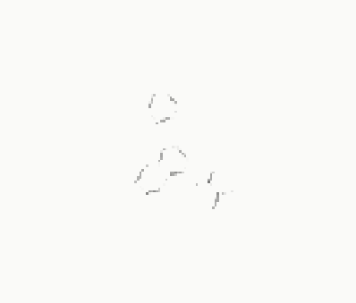 C=C(C)C(=O)Oc1c(Cl)cc(Oc2ccccc2)c2cc(C)ccc12